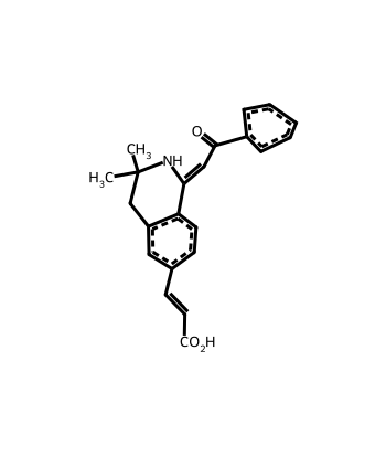 CC1(C)Cc2cc(/C=C/C(=O)O)ccc2/C(=C/C(=O)c2ccccc2)N1